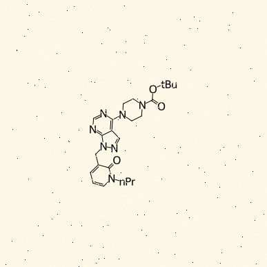 CCCn1cccc(Cn2ncc3c(N4CCN(C(=O)OC(C)(C)C)CC4)ncnc32)c1=O